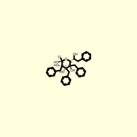 OC(Cc1ccccc1)[C@H]1O[C@@](O)(Cl)[C@](O)(Cc2ccccc2)[C@](O)(Cc2ccccc2)[C@@]1(O)Cc1ccccc1